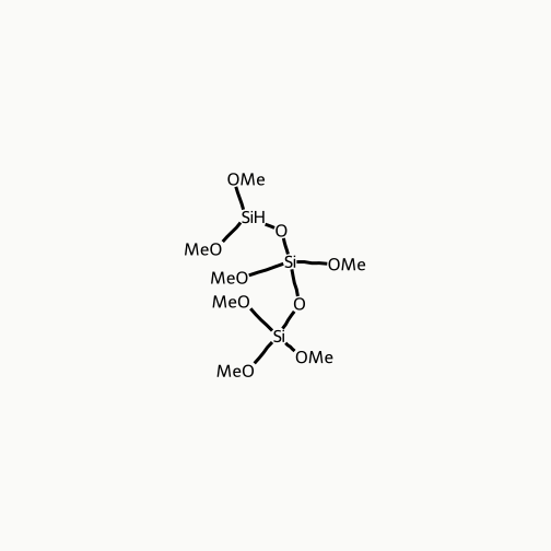 CO[SiH](OC)O[Si](OC)(OC)O[Si](OC)(OC)OC